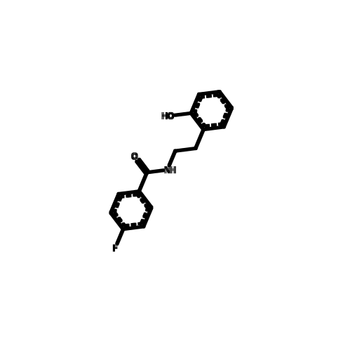 O=C(NCCc1ccccc1O)c1ccc(F)cc1